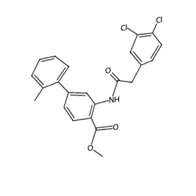 COC(=O)c1ccc(-c2ccccc2C)cc1NC(=O)Cc1ccc(Cl)c(Cl)c1